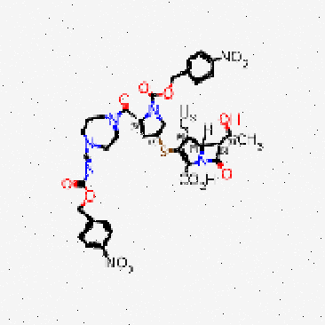 C[C@@H](O)[C@H]1C(=O)N2C(C(=O)O)=C(S[C@H]3C[C@@H](C(=O)N4CCCN(C=NC(=O)OCc5ccc([N+](=O)[O-])cc5)CC4)N(C(=O)OCc4ccc([N+](=O)[O-])cc4)C3)[C@H](C)[C@H]12